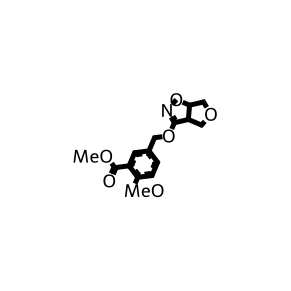 COC(=O)c1cc(COC2=NOC3COCC23)ccc1OC